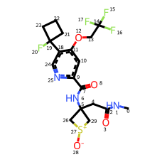 CNC(=O)CC1(NC(=O)c2cc(OCC(F)(F)F)c(C3(F)CCC3)cn2)C[S+]([O-])C1